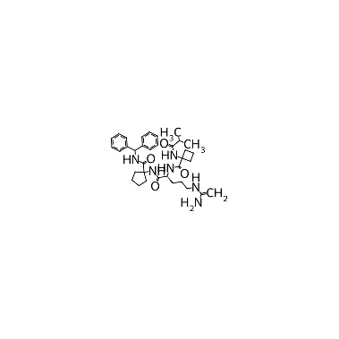 C=C(N)NCCC[C@H](NC(=O)C1(NC(=O)C(C)C)CCC1)C(=O)NC1(C(=O)NC(c2ccccc2)c2ccccc2)CCCC1